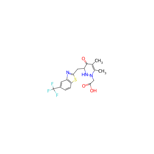 CC1=C(C)N(CC(=O)O)NC(Cc2nc3cc(C(F)(F)F)ccc3s2)C1=O